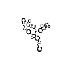 COc1cc(C(=O)c2c(-c3ccc(OCCN4CCC[C@H]4C(=O)OC(C)(C)C)cc3)sc3cc(OCc4ccccc4)ccc23)ccc1CN1CCCC1